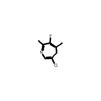 CC1=NC=C(Cl)CC(C)=C1F